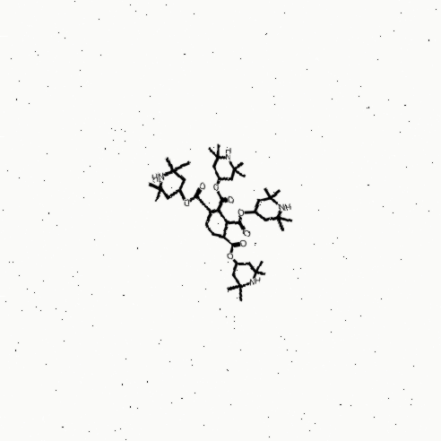 CC1(C)CC(OC(=O)C2CCC(C(=O)OC3CC(C)(C)NC(C)(C)C3)C(C(=O)OC3CC(C)(C)NC(C)(C)C3)C2C(=O)OC2CC(C)(C)NC(C)(C)C2)CC(C)(C)N1